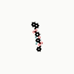 O=C(OCc1ccccc1)c1cc(OC2CCC(C(=O)OCc3cccc4ccccc34)CC2)c(F)cc1F